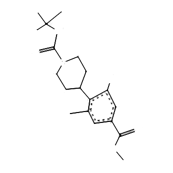 COC(=O)c1cc(C)c(C2CCN(C(=O)OC(C)(C)C)CC2)c(F)c1